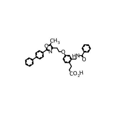 Cc1oc(-c2ccc(-c3ccccc3)cc2)nc1CCOc1ccc(CCC(=O)O)c(CNC(=O)c2ccccc2)c1